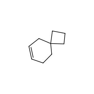 C1=CCC2(CC1)CCC2